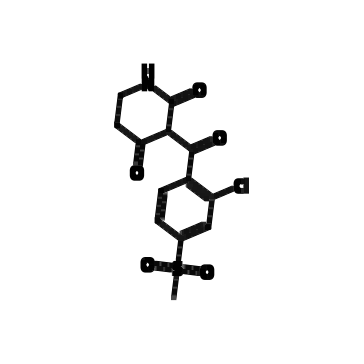 CS(=O)(=O)c1ccc(C(=O)C2C(=O)CCNC2=O)c(Cl)c1